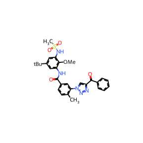 COc1c(NC(=O)c2ccc(C)c(-n3cc(C(=O)c4ccccc4)nn3)c2)cc(C(C)(C)C)cc1NS(C)(=O)=O